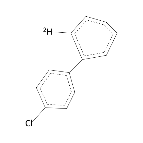 [2H]c1ccccc1-c1ccc(Cl)cc1